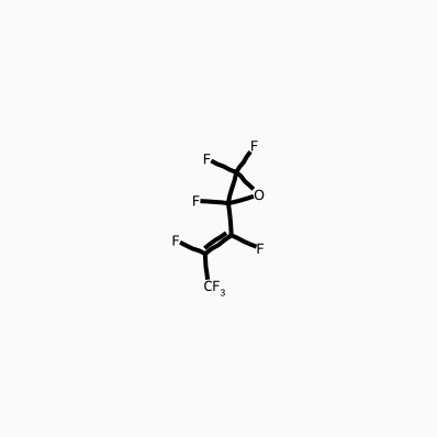 FC(=C(F)C1(F)OC1(F)F)C(F)(F)F